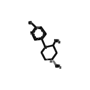 C[C@@H]1CCN(c2ccc(Cl)nc2)C(N)C1